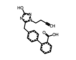 C#CCCn1nc(O)nc1Cc1ccc(-c2ccccc2C(=O)O)cc1